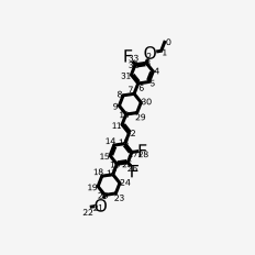 CCOc1ccc(C2CCC(/C=C/c3ccc(C4CCC(OC)CC4)c(F)c3F)CC2)cc1F